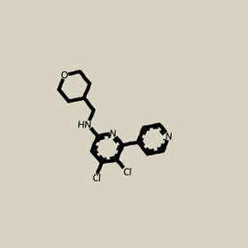 Clc1cc(NCC2CCOCC2)nc(-c2ccncc2)c1Cl